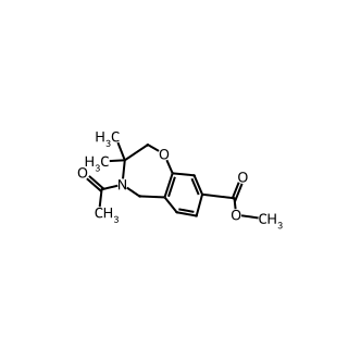 COC(=O)c1ccc2c(c1)OCC(C)(C)N(C(C)=O)C2